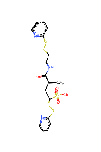 CC(CC(SSc1ccccn1)S(=O)(=O)O)C(=O)NCCSSc1ccccn1